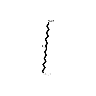 CCCCCCCCCCCCCCCCCCCCCCCCCCC(=O)O.[Ag]